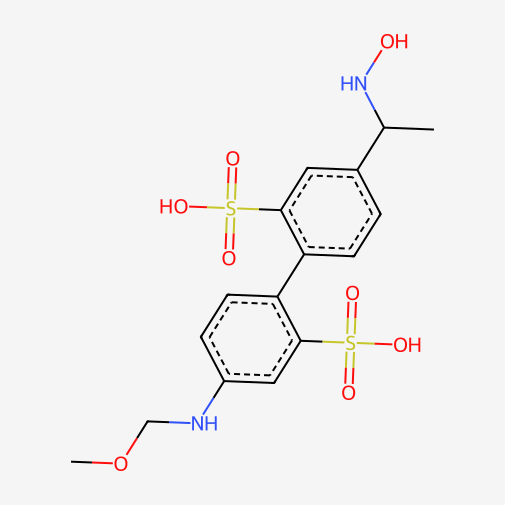 COCNc1ccc(-c2ccc(C(C)NO)cc2S(=O)(=O)O)c(S(=O)(=O)O)c1